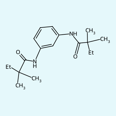 CCC(C)(C)C(=O)Nc1cccc(NC(=O)C(C)(C)CC)c1